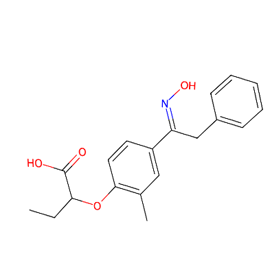 CCC(Oc1ccc(C(Cc2ccccc2)=NO)cc1C)C(=O)O